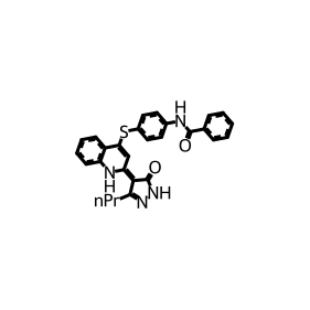 CCCC1=NNC(=O)C1=C1C=C(Sc2ccc(NC(=O)c3ccccc3)cc2)c2ccccc2N1